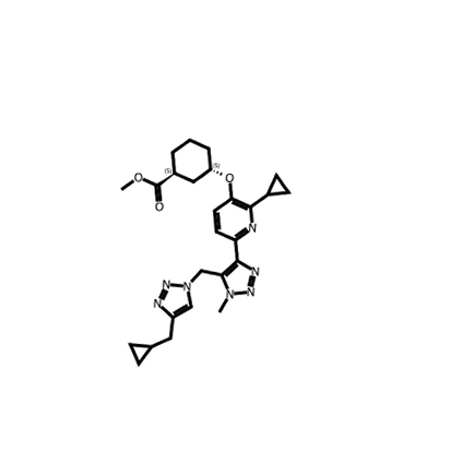 COC(=O)[C@H]1CCC[C@H](Oc2ccc(-c3nnn(C)c3Cn3cc(CC4CC4)nn3)nc2C2CC2)C1